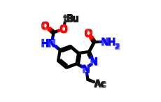 CC(=O)Cn1nc(C(N)=O)c2cc(NC(=O)OC(C)(C)C)ccc21